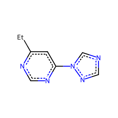 CCc1cc(-n2cncn2)ncn1